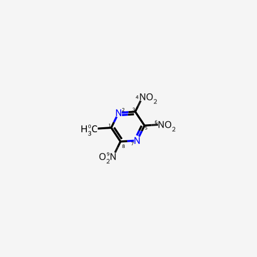 Cc1nc([N+](=O)[O-])c([N+](=O)[O-])nc1[N+](=O)[O-]